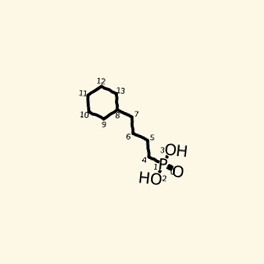 O=P(O)(O)CCCCC1CCCCC1